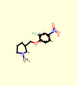 CN1CCCC(COc2ccc([N+](=O)[O-])cc2F)C1